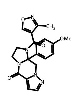 COc1ccc(C23Cn4nccc4C(=O)N2CCN3C(=O)c2conc2C)cc1